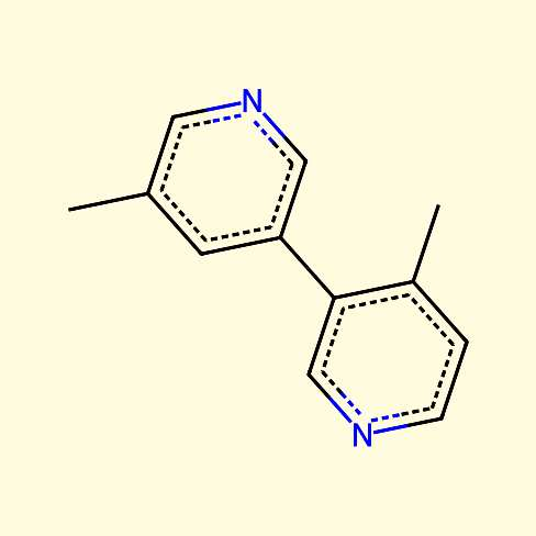 Cc1cncc(-c2cnccc2C)c1